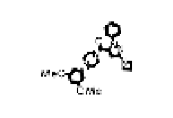 COc1cc(OC)cc(N2CCN(C(=O)c3cc(N4CCC4)nn3-c3ccccc3)CC2)c1